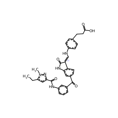 CCc1cc(C(=O)Nc2cccc(C(=O)c3ccc4c(c3)NC(=O)/C4=C\Nc3ccc(CCC(=O)O)cc3)c2)nn1C